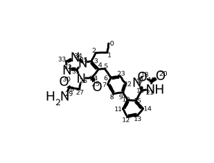 CCCc1c(Cc2ccc(-c3ccccc3-c3noc(=O)[nH]3)cc2)c(=O)n(CC(N)=O)c2ncnn12